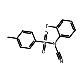 Cc1ccc(S(=O)(=O)N(C#N)c2ccccc2F)cc1